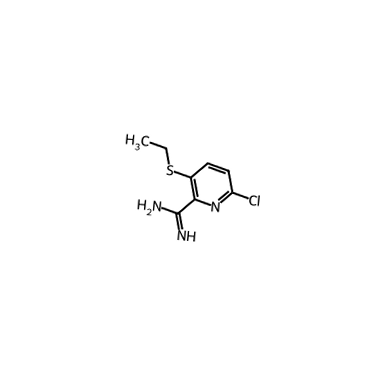 CCSc1ccc(Cl)nc1C(=N)N